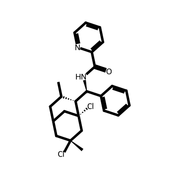 CC1CC2C[C@@](C)(Cl)C[C@@](Cl)(C2)[C@H]1[C@@H](NC(=O)c1ccccn1)c1ccccc1